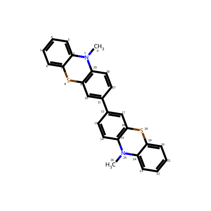 CN1c2ccccc2Sc2cc(-c3ccc4c(c3)Sc3ccccc3N4C)ccc21